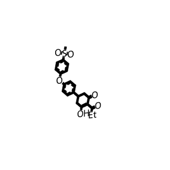 CCC(=O)C1=C(O)CC(c2ccc(Oc3ccc(S(C)(=O)=O)cc3)cc2)CC1=O